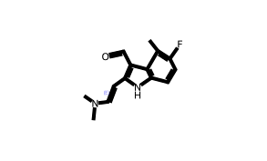 Cc1c(F)ccc2[nH]c(/C=C/N(C)C)c(C=O)c12